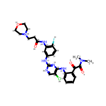 CN(C)C(=O)C(=O)c1ccccc1Nc1nc(Nc2ccc(F)c(NC(=O)CCN3CCOCC3)c2)ncc1Cl